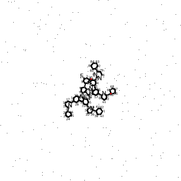 Fc1cc(F)cc(-c2ccc(-n3c4ccc(-c5cccc(-c6ccccc6)n5)cc4c4cc(-c5cccc(-c6ccccc6)n5)ccc43)c(C(F)(F)F)c2-n2c3ccc(-c4cccc(-c5ccccc5)n4)cc3c3cc(-c4nccc(-c5ccccc5)n4)ccc32)c1